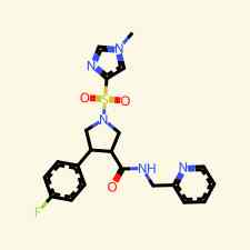 Cn1cnc(S(=O)(=O)N2CC(C(=O)NCc3ccccn3)C(c3ccc(F)cc3)C2)c1